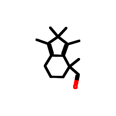 CC1=C2CCCC(C)(C=O)C2=C(C)C1(C)C